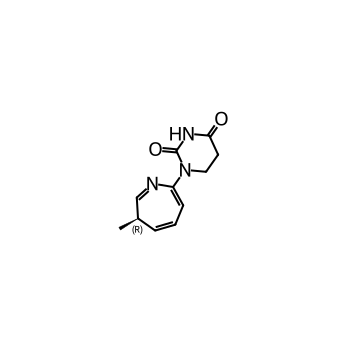 C[C@@H]1C=CC=C(N2CCC(=O)NC2=O)N=C1